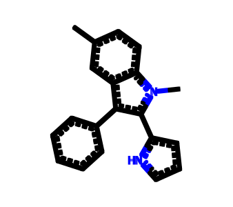 Cc1ccc2c(c1)c(-c1ccccc1)c(-c1ccc[nH]1)n2C